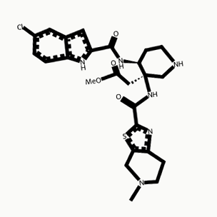 COC(=O)C[C@@]1(NC(=O)c2nc3c(s2)CN(C)CC3)CNCC[C@@H]1NC(=O)c1cc2cc(Cl)ccc2[nH]1